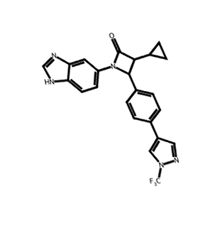 O=C1C(C2CC2)C(c2ccc(-c3cnn(C(F)(F)F)c3)cc2)N1c1ccc2[nH]cnc2c1